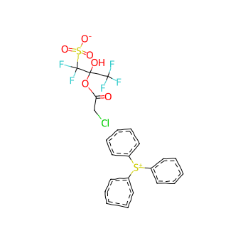 O=C(CCl)OC(O)(C(F)(F)F)C(F)(F)S(=O)(=O)[O-].c1ccc([S+](c2ccccc2)c2ccccc2)cc1